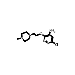 CN1CCN(CCOc2nnc(Cl)cc2N)CC1